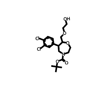 CC(C)(C)OC(=O)N1CCOC(COCCO)C(c2ccc(Cl)c(Cl)c2)C1